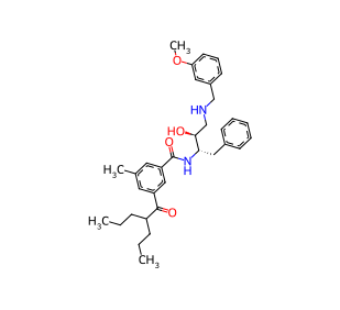 CCCC(CCC)C(=O)c1cc(C)cc(C(=O)N[C@@H](Cc2ccccc2)[C@@H](O)CNCc2cccc(OC)c2)c1